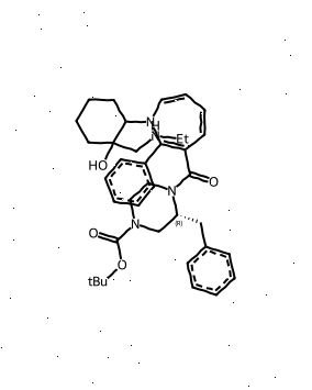 CCNCC1(O)CCCCC1N1C=CC=CC(C(=O)N2CCN(C(=O)OC(C)(C)C)C[C@H]2Cc2ccccc2)=C1c1ccccc1